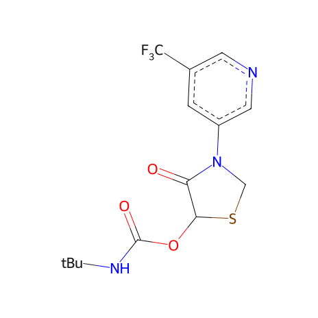 CC(C)(C)NC(=O)OC1SCN(c2cncc(C(F)(F)F)c2)C1=O